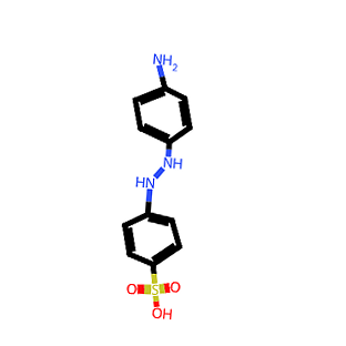 Nc1ccc(NNc2ccc(S(=O)(=O)O)cc2)cc1